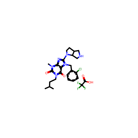 CC(C)CCn1c(=O)c2c(nc(N3CCC4CNCC43)n2Cc2ccccc2Cl)n(C)c1=O.O=C(O)C(F)(F)F